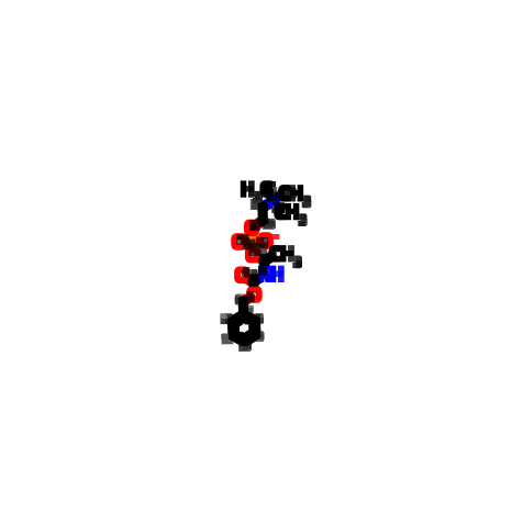 CC(NC(=O)OCc1ccccc1)OP(=O)([O-])OCC[N+](C)(C)C